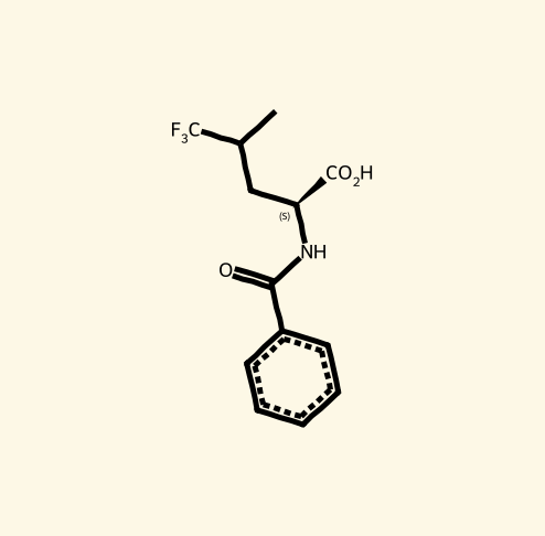 CC(C[C@H](NC(=O)c1ccccc1)C(=O)O)C(F)(F)F